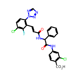 O=C(C=Cc1c(-n2ncnn2)ccc(Cl)c1F)NC(C(=O)Nc1ccc(C(=O)O)c(Cl)c1)c1ccccc1